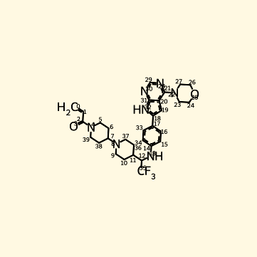 C=CC(=O)N1CCC(N2CCC(C(Nc3ccc(-c4cc5c(N6CCOCC6)ncnc5[nH]4)cc3)C(F)(F)F)CC2)CC1